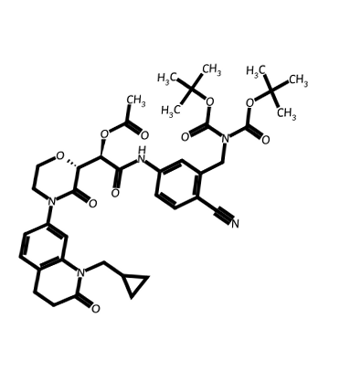 CC(=O)O[C@@H](C(=O)Nc1ccc(C#N)c(CN(C(=O)OC(C)(C)C)C(=O)OC(C)(C)C)c1)[C@H]1OCCN(c2ccc3c(c2)N(CC2CC2)C(=O)CC3)C1=O